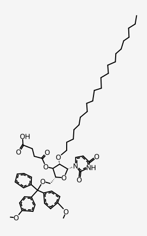 CCCCCCCCCCCCCCCCCCCCCCO[C@H]1C(OC(=O)CCC(=O)O)[C@@H](COC(c2ccccc2)(c2ccc(OC)cc2)c2ccc(OC)cc2)O[C@H]1n1ccc(=O)[nH]c1=O